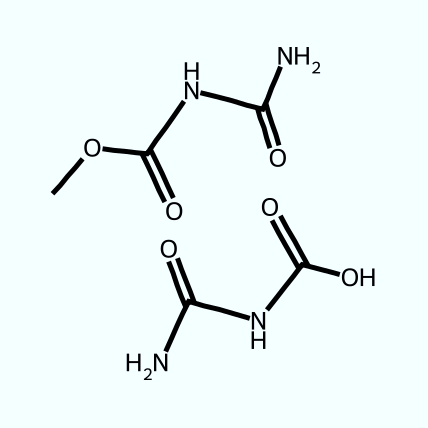 COC(=O)NC(N)=O.NC(=O)NC(=O)O